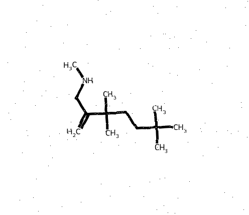 C=C(CNC)C(C)(C)CCC(C)(C)C